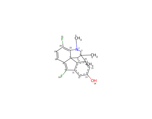 CN1CC(C)(C)CC23C(=C(F)c4cc(O)ccc42)C=CC(F)=C13